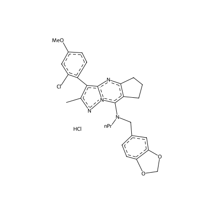 CCCN(Cc1ccc2c(c1)OCO2)c1c2c(nc3c(-c4ccc(OC)cc4Cl)c(C)nn13)CCC2.Cl